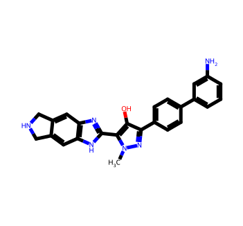 Cn1nc(-c2ccc(-c3cccc(N)c3)cc2)c(O)c1-c1nc2cc3c(cc2[nH]1)CNC3